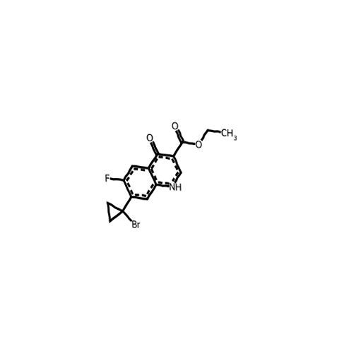 CCOC(=O)c1c[nH]c2cc(C3(Br)CC3)c(F)cc2c1=O